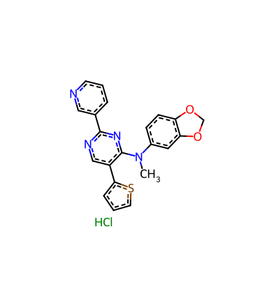 CN(c1ccc2c(c1)OCO2)c1nc(-c2cccnc2)ncc1-c1cccs1.Cl